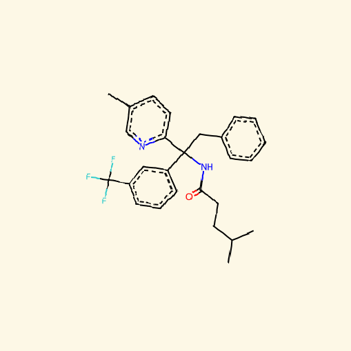 Cc1ccc(C(Cc2ccccc2)(NC(=O)CCC(C)C)c2cccc(C(F)(F)F)c2)nc1